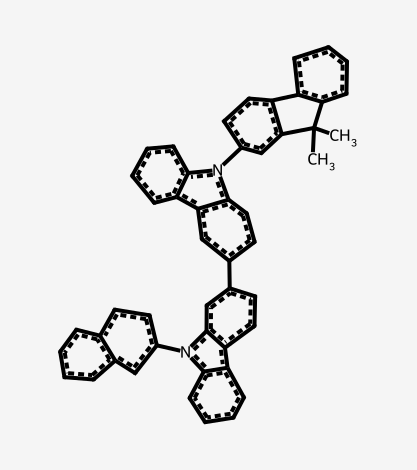 CC1(C)c2ccccc2-c2ccc(-n3c4ccccc4c4cc(-c5ccc6c7ccccc7n(-c7ccc8ccccc8c7)c6c5)ccc43)cc21